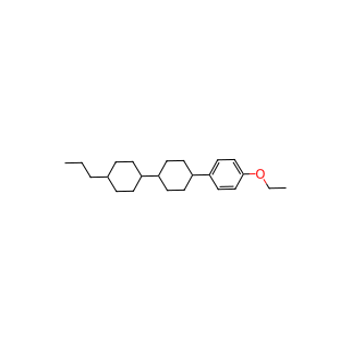 CCCC1CCC(C2CCC(c3ccc(OCC)cc3)CC2)CC1